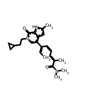 C\C=C(/C=C\C=C(/C)C(=O)N(C)C)c1cn(CCC2CC2)c(=O)c2[nH]c(C)cc12